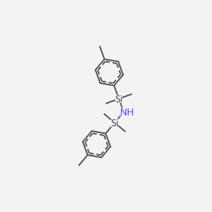 Cc1ccc([Si](C)(C)N[Si](C)(C)c2ccc(C)cc2)cc1